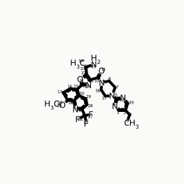 CCc1cnc(N2CCN(C(=O)c3nc(-c4ccc(OC)c5nc(C(F)(F)F)ccc45)oc3[C@H](C)N)CC2)nc1